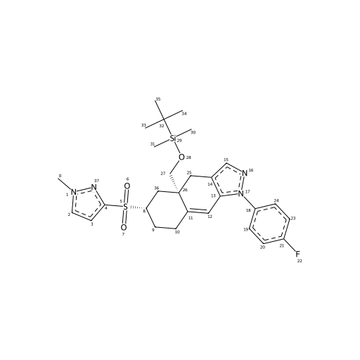 Cn1ccc(S(=O)(=O)[C@H]2CCC3=Cc4c(cnn4-c4ccc(F)cc4)C[C@]3(CO[Si](C)(C)C(C)(C)C)C2)n1